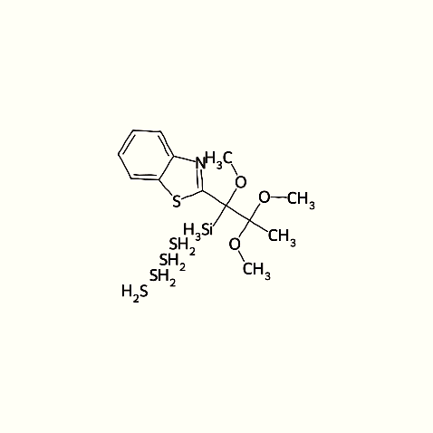 COC(C)(OC)C([SiH3])(OC)c1nc2ccccc2s1.S.S.S.S